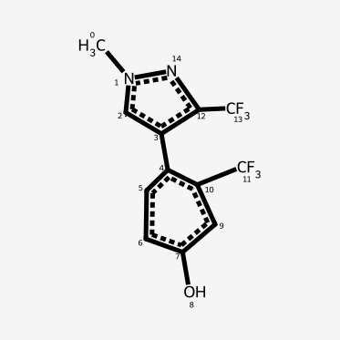 Cn1[c]c(-c2ccc(O)cc2C(F)(F)F)c(C(F)(F)F)n1